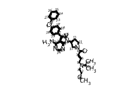 COCCN(CC=CC(=O)N1CCC(n2nc(-c3ccc(Oc4ccccc4)cc3)c3c(N)ncnc32)C1)C(C)C